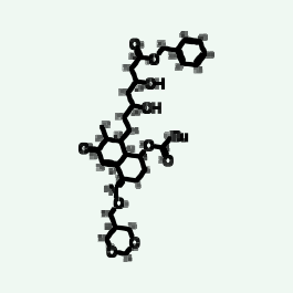 CCC(C)C(=O)OC1CCC(=NOCC2COCOC2)C2=CC(=O)C(C)C(CCC(O)CC(O)CC(=O)OCc3ccccc3)C21